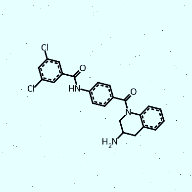 NC1Cc2ccccc2N(C(=O)c2ccc(NC(=O)c3cc(Cl)cc(Cl)c3)cc2)C1